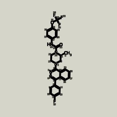 C[C@H]1CN(c2nnc(-c3ccc(F)cc3)c3ccccc23)CCN1C(=O)Nc1ccc(OC(F)(F)F)cc1